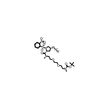 CN(CCOCCOCCN(C)C(=O)[C@@H]1C[C@H](N=[N+]=[N-])CN1S(=O)(=O)c1ccccc1[N+](=O)[O-])C(=O)OC(C)(C)C